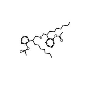 CCCCCCCC(CSCC(CCCCCCC)c1ccccc1OC(C)=O)c1ccccc1OC(C)=O